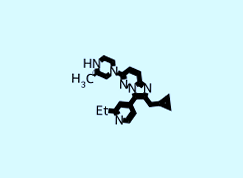 CCc1cc(-c2c(CC3CC3)nc3ccc(N4CCN[C@H](C)C4)nn23)ccn1